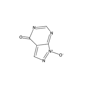 O=C1N=CN=C2C1=CN=[N+]2[O-]